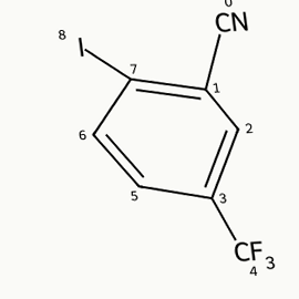 N#Cc1cc(C(F)(F)F)ccc1I